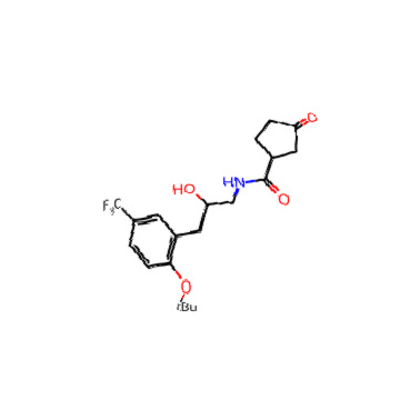 CC(C)(C)Oc1ccc(C(F)(F)F)cc1CC(O)CNC(=O)C1CCC(=O)C1